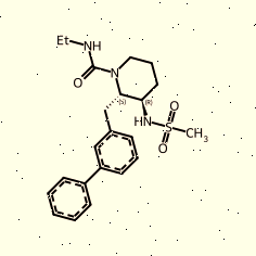 CCNC(=O)N1CCC[C@@H](NS(C)(=O)=O)[C@@H]1Cc1cccc(-c2ccccc2)c1